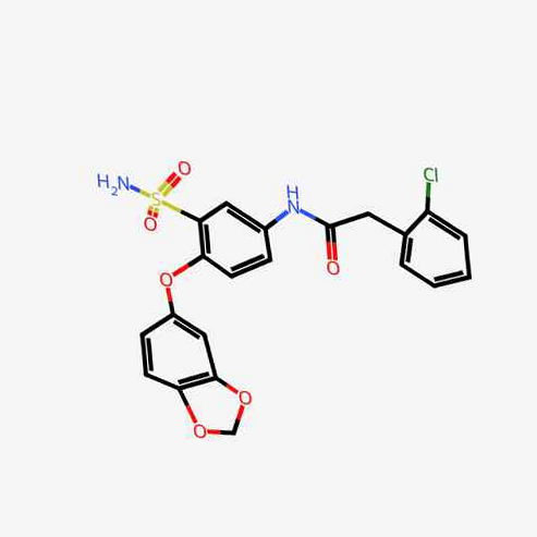 NS(=O)(=O)c1cc(NC(=O)Cc2ccccc2Cl)ccc1Oc1ccc2c(c1)OCO2